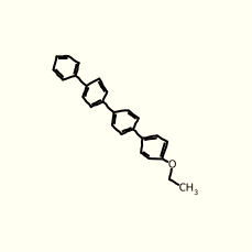 CCOc1ccc(-c2ccc(-c3ccc(-c4ccccc4)cc3)cc2)cc1